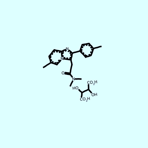 Cc1ccc(-c2nc3ccc(C)cn3c2CC(=O)N(C)C)cc1.O=C(O)C(O)C(O)C(=O)O